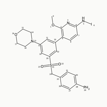 COc1nc(NI)ccc1-c1cc(N2CCOCC2)cc(S(=O)(=O)Cc2ccc(P)cc2)c1